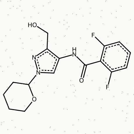 O=C(Nc1cn(C2CCCCO2)nc1CO)c1c(F)cccc1F